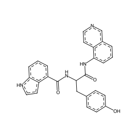 O=C(NC(Cc1ccc(O)cc1)C(=O)Nc1cccc2cnccc12)c1cccc2[nH]ccc12